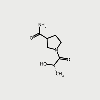 C[C@H](O)C(=O)N1CCC(C(N)=O)C1